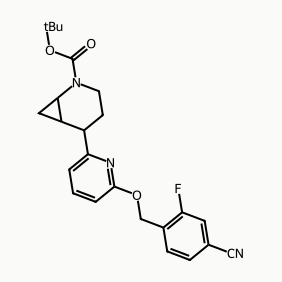 CC(C)(C)OC(=O)N1CCC(c2cccc(OCc3ccc(C#N)cc3F)n2)C2CC21